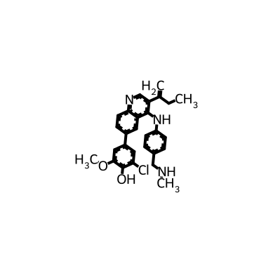 C=C(CC)c1cnc2ccc(-c3cc(Cl)c(O)c(OC)c3)cc2c1Nc1ccc(CNC)cc1